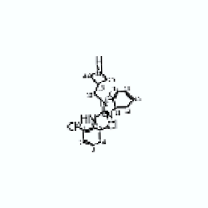 Clc1cccc(Cl)c1Nc1nc2ccccc2n1CC1CNC1